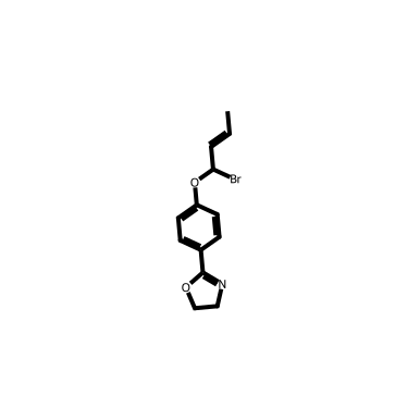 CC=CC(Br)Oc1ccc(C2=NCCO2)cc1